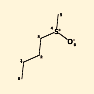 C[CH]CC[S+](C)[O-]